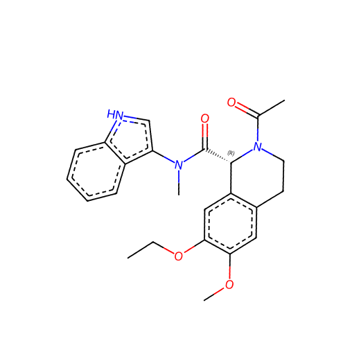 CCOc1cc2c(cc1OC)CCN(C(C)=O)[C@H]2C(=O)N(C)c1c[nH]c2ccccc12